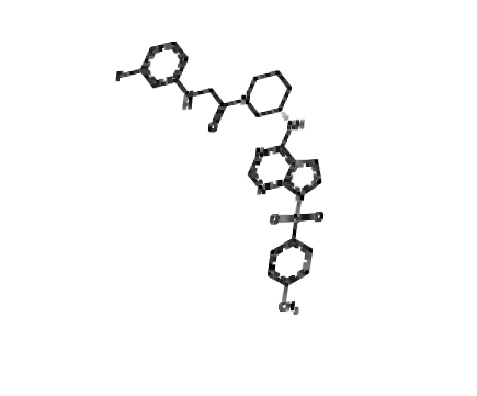 Cc1ccc(S(=O)(=O)n2ccc3c(N[C@H]4CCCN(C(=O)CNc5cccc(F)c5)C4)ncnc32)cc1